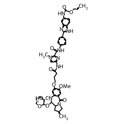 C=CCOC(=O)Nc1ccc2[nH]c(-c3ccc(NC(=O)c4nc(NC(=O)CCCOc5cc6c(cc5OC)C(=O)N5CC(=C)CC5C(OC5CCCCO5)N6C(=O)O)cn4C)cc3)nc2c1